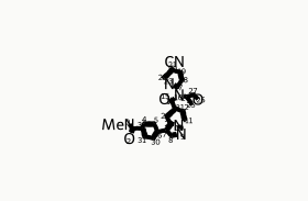 CNC(=O)c1ccc(-c2cnn3ccc(C(=O)N(c4ccc(C#N)cn4)C4COC4)cc23)cc1